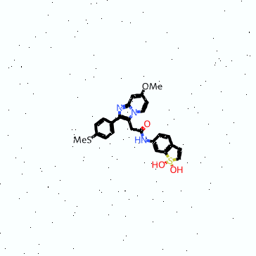 COc1ccn2c(CC(=O)Nc3ccc4c(c3)S(O)(O)C=C4)c(-c3ccc(SC)cc3)nc2c1